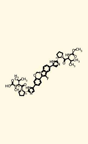 COC(=O)NC(C(=O)N1CCC[C@H]1c1ncc(-c2ccc3c(c2)c(F)c2n3COc3cc(-c4cnc([C@@H]5CCCN5C(=O)[C@H](C(C)C)N(C)C(=O)O)[nH]4)ccc3-2)[nH]1)C(C)C